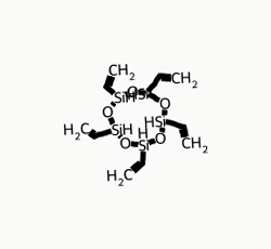 C=C[SiH]1O[SiH](C=C)O[SiH](C=C)O[SiH](C=C)O[SiH](C=C)O1